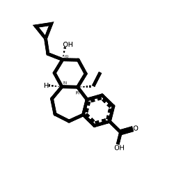 CC[C@@]12CC[C@](O)(CC3CC3)C[C@@H]1CCCc1cc(C(=O)O)ccc12